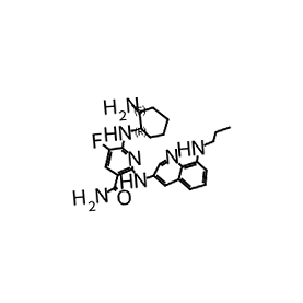 CCCNc1cccc2cc(Nc3nc(N[C@@H]4CCCC[C@@H]4N)c(F)cc3C(N)=O)cnc12